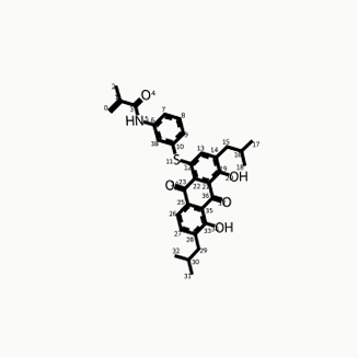 C=C(C)C(=O)Nc1cccc(Sc2cc(CC(C)C)c(O)c3c2C(=O)c2ccc(CC(C)C)c(O)c2C3=O)c1